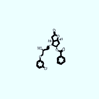 O=C1C[C@@H]2[C@@H](/C=C/[C@H](O)COc3cccc(Cl)c3)[C@H](OC(=O)c3ccccc3)C[C@@H]2O1